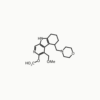 COCc1c(OC(=O)O)ncc2[nH]c3c(c12)C(CN1CCOCC1)CCC3